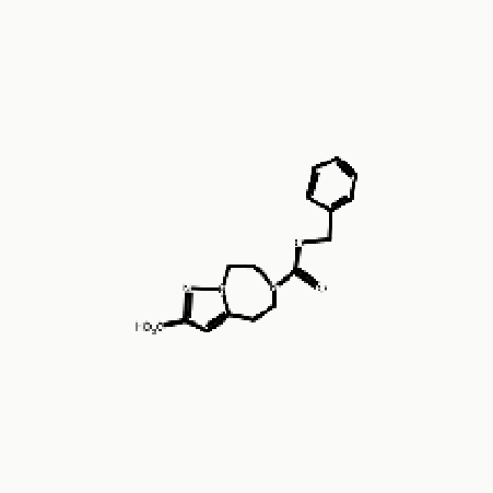 O=C(O)c1cc2n(n1)CCN(C(=O)OCc1ccccc1)CC2